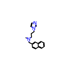 CN(CCCn1ccnc1)Cc1ccc2ccccc2c1